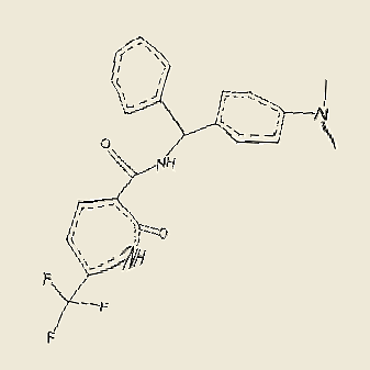 CN(C)c1ccc(C(NC(=O)c2ccc(C(F)(F)F)[nH]c2=O)c2ccccc2)cc1